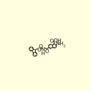 Nc1ccc2cc(C(=O)CNC(=O)OCC3c4ccccc4-c4ccccc43)ccc2c1C(=O)O